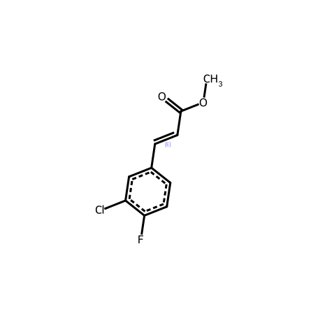 COC(=O)/C=C/c1ccc(F)c(Cl)c1